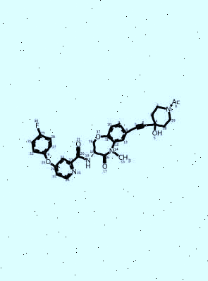 CC(=O)N1CCC(O)(C#Cc2ccc3c(c2)N(C)C(=O)[C@H](NC(=O)c2cc(Oc4ccc(F)cc4)ccn2)CO3)CC1